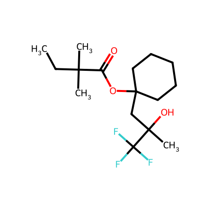 CCC(C)(C)C(=O)OC1(CC(C)(O)C(F)(F)F)CCCCC1